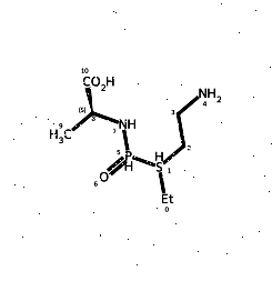 CC[SH](CCN)[PH](=O)N[C@@H](C)C(=O)O